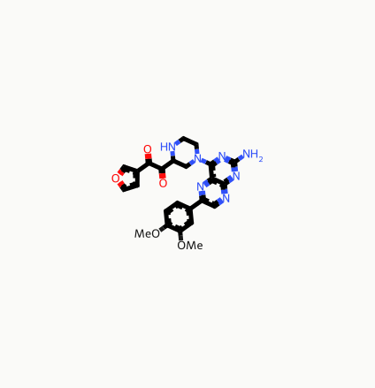 COc1ccc(-c2cnc3nc(N)nc(N4CCNC(C(=O)C(=O)c5ccoc5)C4)c3n2)cc1OC